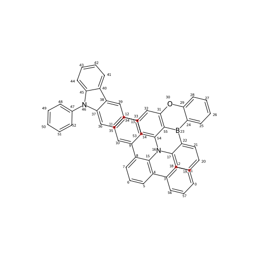 c1ccc(-c2cccc(-c3ccccc3)c2N2c3ccccc3B3c4ccccc4Oc4cc(-c5ccc6c(c5)c5ccccc5n6-c5ccccc5)cc2c43)cc1